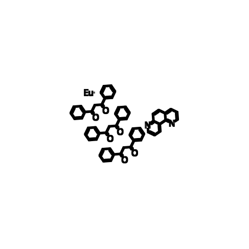 O=C(CC(=O)c1ccccc1)c1ccccc1.O=C(CC(=O)c1ccccc1)c1ccccc1.O=C(CC(=O)c1ccccc1)c1ccccc1.[Eu].c1cnc2c(c1)ccc1ncccc12